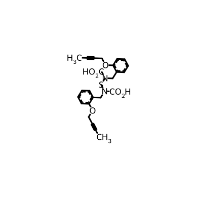 CC#CCOc1ccccc1CN(SN(Cc1ccccc1OCC#CC)C(=O)O)C(=O)O